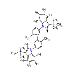 [2H]c1c([2H])c([2H])c2c(c1[2H])c(C(C)(C)C)c([2H])n2-c1ccc(C)c(-c2cc(-n3c([2H])c(C(C)(C)C)c4c([2H])c([2H])c([2H])c([2H])c43)ccc2C)c1